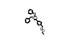 CCOOCc1ccc(-c2cn(Cc3ccccc3)/c(=N\c3ccccc3)s2)cc1